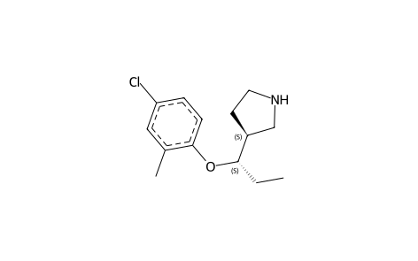 CC[C@H](Oc1ccc(Cl)cc1C)[C@H]1CCNC1